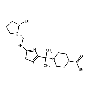 CCN1CCC[C@H]1CNc1nc(C(C)(C)N2CCN(C(=O)C(C)(C)C)CC2)ns1